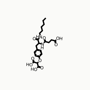 CCCCCCNC(=O)C(Cc1ccc(OC(C(=O)O)C(=O)O)cc1)NC(=O)CCC(=O)O